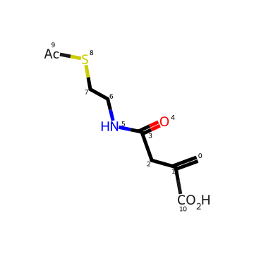 C=C(CC(=O)NCCSC(C)=O)C(=O)O